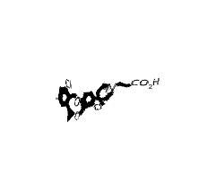 O=C(O)CCN1CCC2(CC1)COc1c2ccc(OCc2c(Cl)cccc2C2CC2)c1Cl